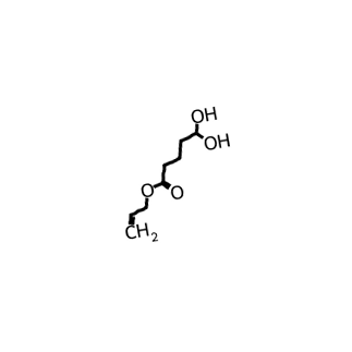 C=CCOC(=O)CCCC(O)O